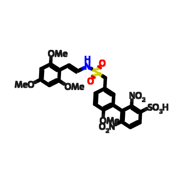 COc1cc(OC)c(C=CNS(=O)(=O)Cc2ccc(OC)c(-c3c([N+](=O)[O-])ccc(S(=O)(=O)O)c3[N+](=O)[O-])c2)c(OC)c1